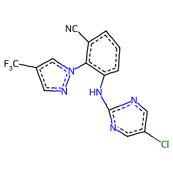 N#Cc1cccc(Nc2ncc(Cl)cn2)c1-n1cc(C(F)(F)F)cn1